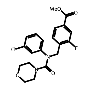 COC(=O)c1ccc(CN(C(=O)N2CCOCC2)c2cccc(Cl)c2)c(F)c1